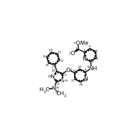 COC(=O)c1cccc(Nc2cc(Oc3sc(N(C)C)nc3-c3ccccc3)ccn2)n1